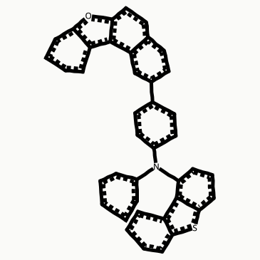 c1ccc(N(c2ccc(-c3ccc4ccc5oc6ccccc6c5c4c3)cc2)c2cccc3sc4ccccc4c23)cc1